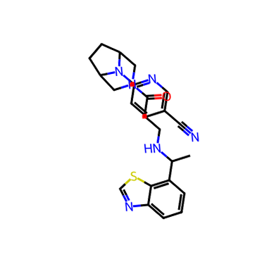 CC(NCCC(=O)N1CC2CCC(C1)N2c1ccc(C#N)cn1)c1cccc2ncsc12